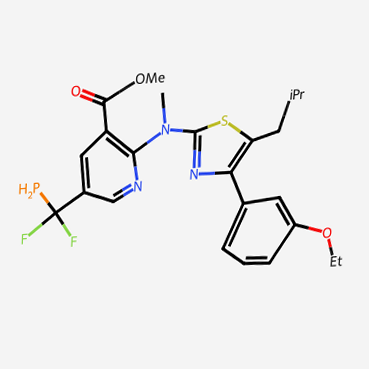 CCOc1cccc(-c2nc(N(C)c3ncc(C(F)(F)P)cc3C(=O)OC)sc2CC(C)C)c1